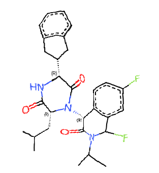 CC(C)C[C@@H]1C(=O)N[C@H](C2Cc3ccccc3C2)C(=O)N1[C@H]1C(=O)N(C(C)C)C(F)c2cc(F)ccc21